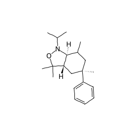 CC1C[C@@](C)(c2ccccc2)C[C@H]2[C@H]1N(C(C)C)OC2(C)C